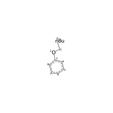 [CH2]CCC[CH]Oc1ccccc1